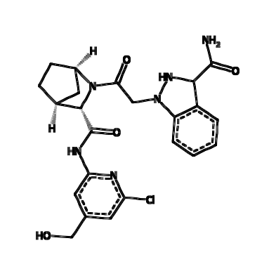 NC(=O)C1NN(CC(=O)N2[C@@H]3CC[C@@H](C3)[C@H]2C(=O)Nc2cc(CO)cc(Cl)n2)c2ccccc21